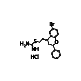 Cl.N=C(N)SCC=C1CC(c2ccccc2)Oc2ccc(Br)cc21